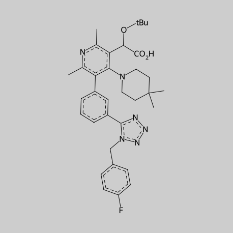 Cc1nc(C)c(C(OC(C)(C)C)C(=O)O)c(N2CCC(C)(C)CC2)c1-c1cccc(-c2nnnn2Cc2ccc(F)cc2)c1